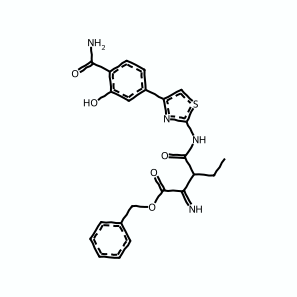 CCC(C(=N)C(=O)OCc1ccccc1)C(=O)Nc1nc(-c2ccc(C(N)=O)c(O)c2)cs1